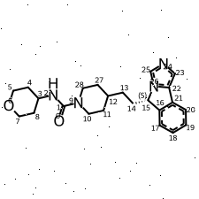 O=C(NC1CCOCC1)N1CCC(CC[C@H]2c3ccccc3-c3cncn32)CC1